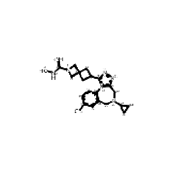 N=C(NO)N1CC2(CC(c3nnc4n3-c3ccc(Cl)cc3CN(C3CC3)C4)C2)C1